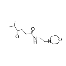 CC(C)C(=O)CCC(=O)NCCN1CCOCC1